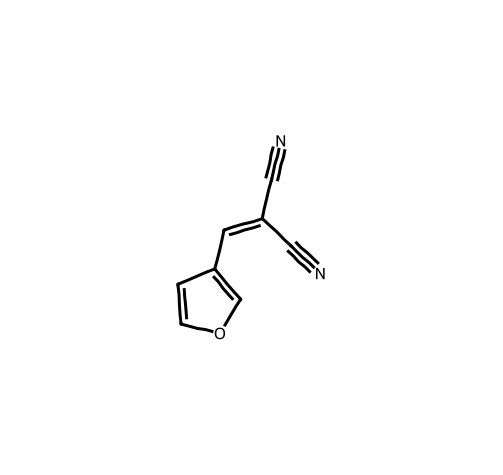 N#CC(C#N)=Cc1ccoc1